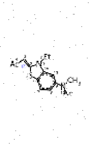 CCN1/C(=C/C(C)=O)Sc2ccc(N(C)C(C)=O)cc21